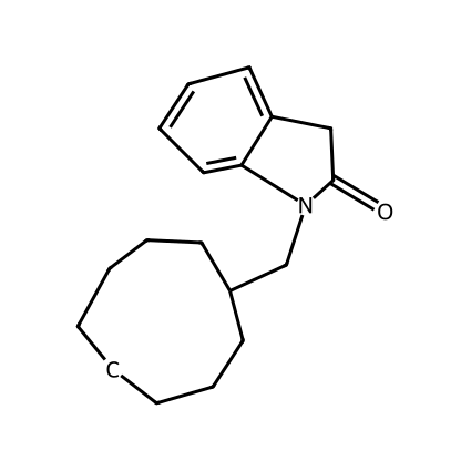 O=C1Cc2ccccc2N1CC1CCCCCCCC1